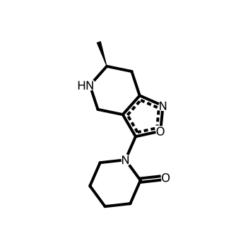 C[C@H]1Cc2noc(N3CCCCC3=O)c2CN1